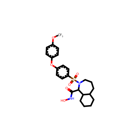 O=C(NO)C1C2CCCCC2CCCN1S(=O)(=O)c1ccc(Oc2ccc(OC(F)(F)F)cc2)cc1